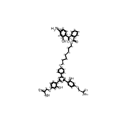 CCCCC(CC)COc1ccc(-c2nc(-c3ccc(OCCCCCCCOC(=O)c4ccccc4C(=O)c4ccc(N)cc4O)cc3)nc(-c3ccc(OCC(CC)CCCC)cc3O)n2)c(O)c1